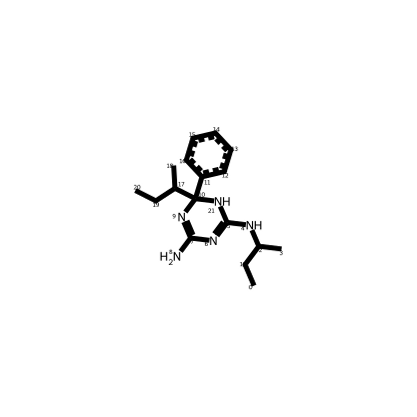 CCC(C)NC1=NC(N)=NC(c2ccccc2)(C(C)CC)N1